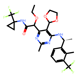 CCOC(C(=O)NC1(C(F)(F)F)CC1)c1nc(C)nc(N[C@H](C)c2cccc(C(F)(F)F)c2C)c1C1OCCO1